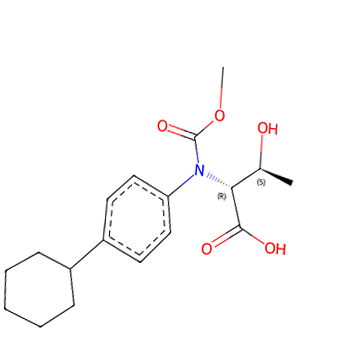 COC(=O)N(c1ccc(C2CCCCC2)cc1)[C@@H](C(=O)O)[C@H](C)O